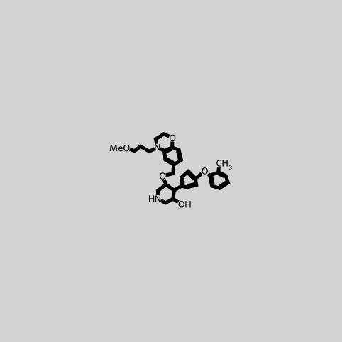 COCCCN1CCOc2ccc(COC3CNCC(O)C3c3ccc(Oc4ccccc4C)cc3)cc21